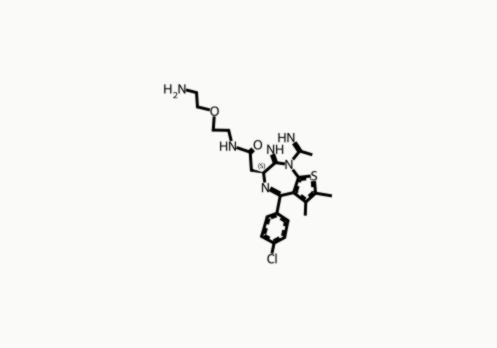 CC(=N)N1C(=N)[C@H](CC(=O)NCCOCCN)N=C(c2ccc(Cl)cc2)c2c1sc(C)c2C